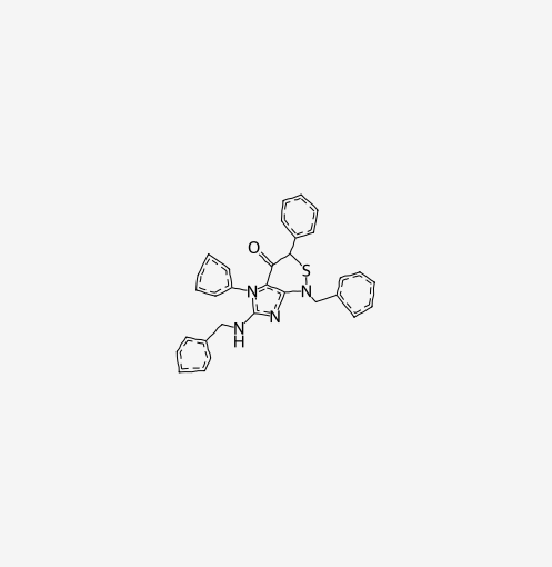 O=C1c2c(nc(NCc3ccccc3)n2-c2ccccc2)N(Cc2ccccc2)SC1c1ccccc1